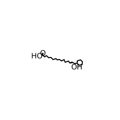 O=C(O)CCCCCCCCCCCCC=CC(O)C1CCCCC1